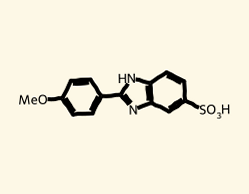 COc1ccc(-c2nc3cc(S(=O)(=O)O)ccc3[nH]2)cc1